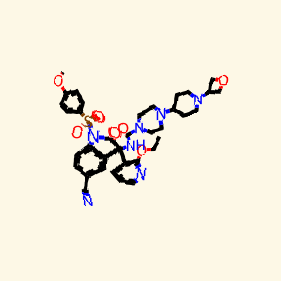 CCOc1ncccc1C1(NC(=O)N2CCN(C3CCN(C4COC4)CC3)CC2)C(=O)N(S(=O)(=O)c2ccc(OC)cc2)c2ccc(C#N)cc21